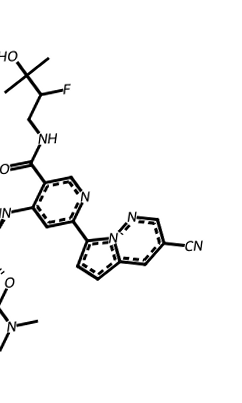 CN(C)C(=O)O[C@@H]1C[C@H]1Nc1cc(-c2ccc3cc(C#N)cnn23)ncc1C(=O)NCC(F)C(C)(C)O